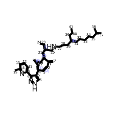 C=C1\C=C/C(c2c[nH]nc2-c2cccc(C)n2)=C/C=C/C1=C/C(=C\C)CNCCC/C(=C/CCCCC(C)C)CCC